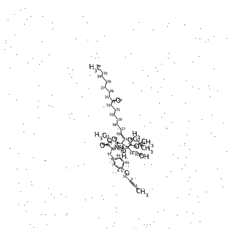 CC#CCOc1ccc(CC(NC(=O)[C@@H](/C=C/CCCCCCC(=O)CCCCCCC)[C@](O)(CCO)C(=O)OC(C)(C)C)C(=O)OC)cc1